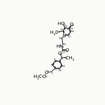 COOCc1ccc([C@H](C)OC(=O)NCCn2ccc(=O)c(O)c2C)cc1